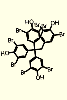 Oc1c(Br)cc(CC(c2cc(Br)c(O)c(Br)c2)(c2cc(Br)c(O)c(Br)c2)c2cc(Br)c(O)c(Br)c2)cc1Br